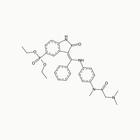 CCOP(=O)(OCC)c1ccc2c(c1)/C(=C(/Nc1ccc(N(C)C(=O)CN(C)C)cc1)c1ccccc1)C(=O)N2